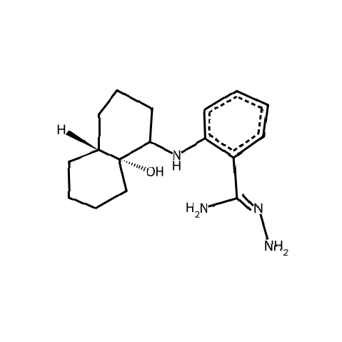 N/N=C(\N)c1ccccc1NC1CCC[C@H]2CCCC[C@]12O